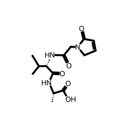 CC(C)[C@H](NC(=O)CN1CC=CC1=O)C(=O)N[C@@H](C)C(=O)O